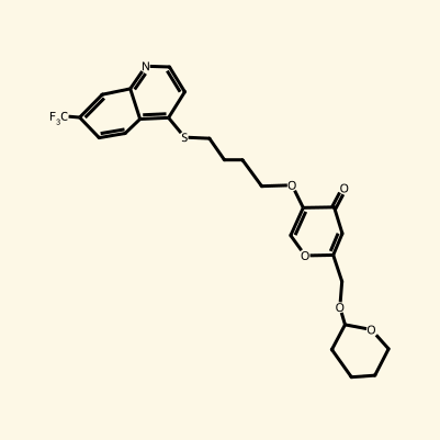 O=c1cc(COC2CCCCO2)occ1OCCCCSc1ccnc2cc(C(F)(F)F)ccc12